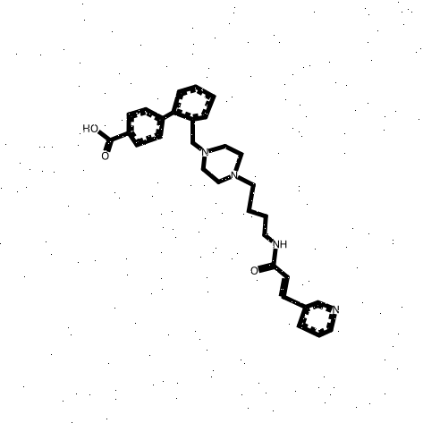 O=C(C=Cc1cccnc1)NCCCCN1CCN(Cc2ccccc2-c2ccc(C(=O)O)cc2)CC1